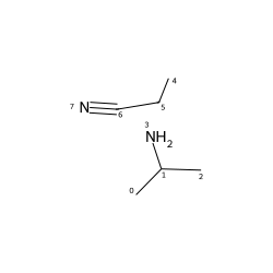 CC(C)N.CCC#N